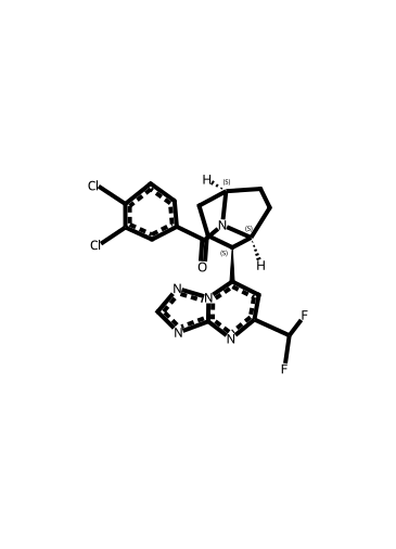 O=C(c1ccc(Cl)c(Cl)c1)N1[C@H]2CC[C@H](c3cc(C(F)F)nc4ncnn34)[C@@H]1CC2